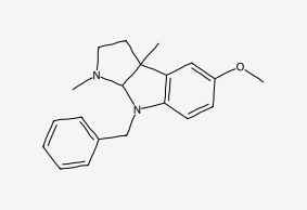 COc1ccc2c(c1)C1(C)CCN(C)C1N2Cc1ccccc1